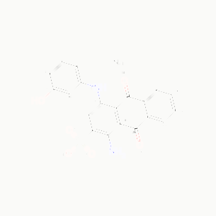 Nc1c(S(=O)(=O)[O-])cc(Nc2cccc(O)c2)c2c1C(=O)c1ccccc1C2=O.[Na+]